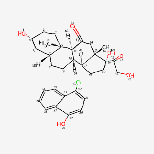 C[C@]12CC[C@@H](O)C[C@H]1CC[C@@H]1[C@@H]2C(=O)C[C@@]2(C)[C@H]1CC[C@]2(O)C(=O)CO.Oc1ccc(Cl)c2ccccc12